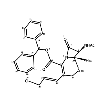 CC(=O)N[C@@H]1C(=O)N2C(C(=O)OC(c3ccccc3)c3ccccc3)=C(C=CCCl)CS[C@@H]12